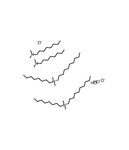 CCCCCCCCCC[N+](C)(C)CCCCCCCC.CCCCCCCCCC[N+](C)(C)CCCCCCCC.CCCCCCCCN(C)C.CCCCCCCCN(C)C.Cl.Cl.[Cl-].[Cl-]